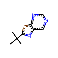 CC(C)(C)c1nc2cncnc2s1